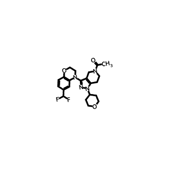 CC(=O)N1CCc2c(c(N3CCOc4ccc(C(F)F)cc43)nn2C2CCOCC2)C1